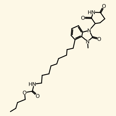 CCCCOC(=O)NCCCCCCCCCc1cccc2c1n(C)c(=O)n2C1CCC(=O)NC1=O